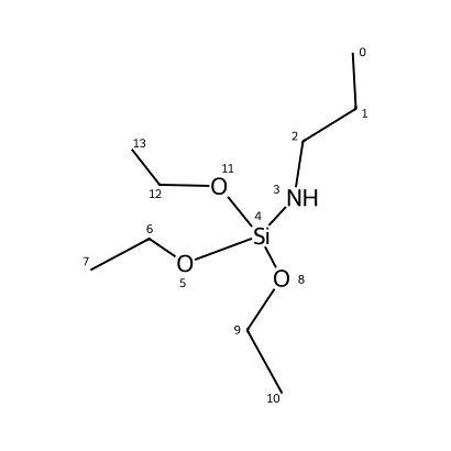 CCCN[Si](OCC)(OCC)OCC